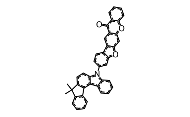 CC1(C)c2ccccc2-c2c1ccc1c2c2ccccc2n1-c1ccc2c(c1)oc1cc3oc4ccccc4c(=O)c3cc12